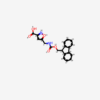 O=C(NCc1cc(C(=O)O)no1)OCC1c2ccccc2-c2ccccc21